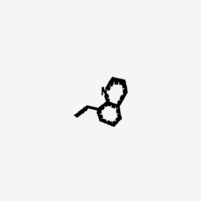 C=Cc1cccc2cccnc12